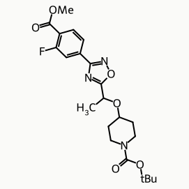 COC(=O)c1ccc(-c2noc(C(C)OC3CCN(C(=O)OC(C)(C)C)CC3)n2)cc1F